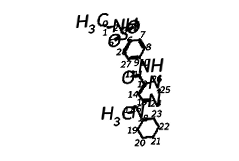 CCNS(=O)(=O)c1ccc(NC(=O)c2cc(N(C)C3CCCCC3)ncn2)cc1